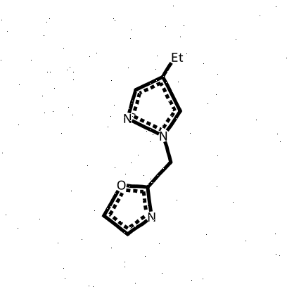 CCc1cnn(Cc2ncco2)c1